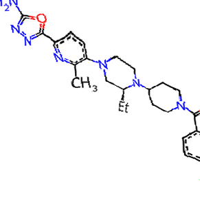 CC[C@H]1CN(c2ccc(-c3nnc(N)o3)nc2C)CCN1C1CCN(C(=O)c2ccc(Cl)cc2)CC1